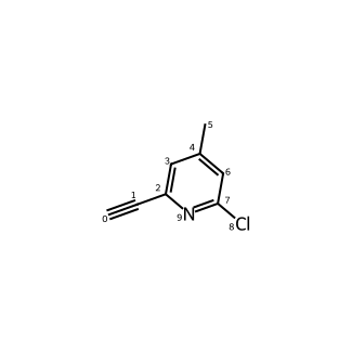 C#Cc1cc(C)cc(Cl)n1